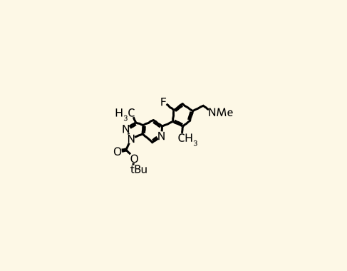 CNCc1cc(C)c(-c2cc3c(C)nn(C(=O)OC(C)(C)C)c3cn2)c(F)c1